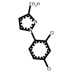 O=C(O)c1ccn(-c2ccc(Cl)cc2Cl)n1